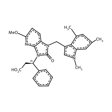 COc1ccc2c(n1)n([C@H](CC(=O)O)c1ccccc1)c(=O)n2Cc1cn(C)c2cc(C)cc(C)c12